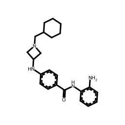 Nc1ccccc1NC(=O)c1ccc(NC2CN(CC3CCCCC3)C2)cc1